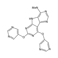 CNc1ncnc2c1[nH]c1nc(Oc3cncnc3)nc(Oc3cncnc3)c12